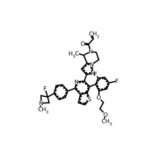 C=CC(=O)N1CCn2nc(-c3nc(-c4ccc(C5(F)CN(C)C5)cc4)c4ccsc4c3-c3c(F)cc(F)cc3OCCOC)cc2C1C